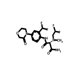 CN(CC(F)F)[C@H](C(N)=O)C(=O)Nc1ccc(N2CCOCC2=O)cc1C(F)F